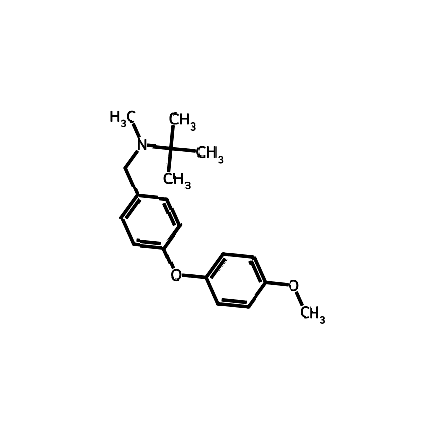 COc1ccc(Oc2ccc(CN(C)C(C)(C)C)cc2)cc1